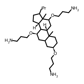 CC(C)C1CC[C@H]2C3[C@H](OCCCN)CC4C[C@H](OCCCN)CCC4(C)[C@H]3CC(OCCCN)C12C